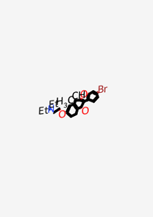 CCN(CC)CCOC1=CC2=C(CC1)C(=O)c1c(oc3cc(Br)ccc13)C2(C)C